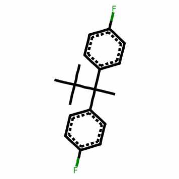 CC(C)(C)C(C)(c1ccc(F)cc1)c1ccc(F)cc1